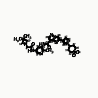 Cc1ncc(NC(=O)CN2CC(C)(C)C2)cc1NC(=O)c1cnn2cc(-c3cnn(C4CCS(=O)(=O)CC4)c3)sc12